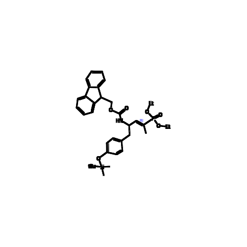 CCOP(=O)(OCC)/C(C)=C/C(Cc1ccc(O[Si](C)(C)C(C)(C)C)cc1)NC(=O)OCC1c2ccccc2-c2ccccc21